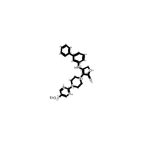 CCOC(=O)c1cnc(N2CCN(C3=C(Nc4cccc(-c5ccccc5)c4)COC3=O)CC2)nc1